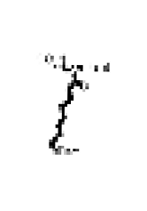 CCCCCCCCCCCCCCCCCC(=O)N(CCCCC)CC(=O)O